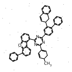 CC1C=CC(c2nc(-c3ccc(-c4ccccc4)c(C4C=Cc5ccccc5C4)c3)nc(-c3cccc4oc5c(-c6ccccc6)cccc5c34)n2)=CC1